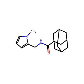 Cn1cccc1CNC(=O)C12CC3CC(CC(C3)C1)C2